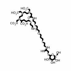 N=C(CSC1O[C@H](CO)[C@@H](O)[C@H](O)[C@@H]1O)NCCSCCCOCCCSCCNC(=O)CN(CCN(CCN(CC(=O)O)C(CCCSCCN)C(=O)O)CC(=O)O)CC(=O)O